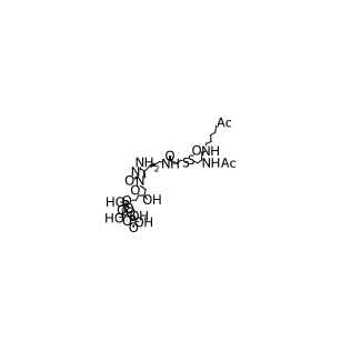 CC(=O)CCCCCNC(=O)C(CSSCCC(=O)NCC#Cc1cn(C2CC(O)C(COP(=O)(O)OP(=O)(O)OP(=O)(O)O)O2)c(=O)nc1N)NC(C)=O